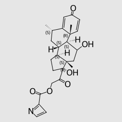 C[C@H]1C[C@@H]2[C@H](C(O)C[C@@]3(C)[C@H]2CC[C@]3(O)C(=O)COC(=O)C2=NC=C2)[C@@]2(C)C=CC(=O)C=C12